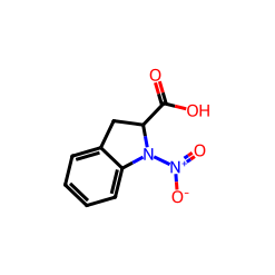 O=C(O)C1Cc2ccccc2N1[N+](=O)[O-]